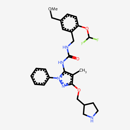 COCc1ccc(OC(F)F)c(CNC(=O)Nc2c(C)c(OCC3CCNC3)nn2-c2ccccc2)c1